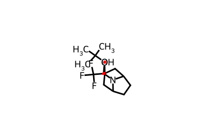 CC(C)(C)OCN1C2CCC1CC(O)(C(F)(F)F)C2